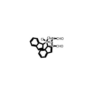 O=C[NH][Ga]([NH]C=O)[Zr]([Cl])([Cl])([CH]1C=Cc2ccccc21)[CH]1C=Cc2ccccc21